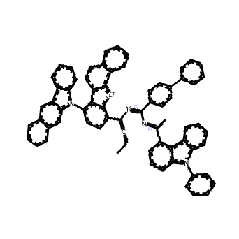 CC=C=C(/N=C(\N=C(/C)c1cccc2c1c1ccccc1n2-c1ccccc1)c1ccc(-c2ccccc2)cc1)c1ccc(-n2c3ccccc3c3cc4ccccc4cc32)c2c1oc1c3ccccc3ccc12